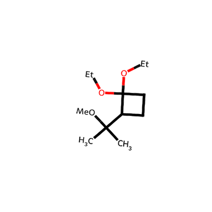 CCOC1(OCC)CCC1C(C)(C)OC